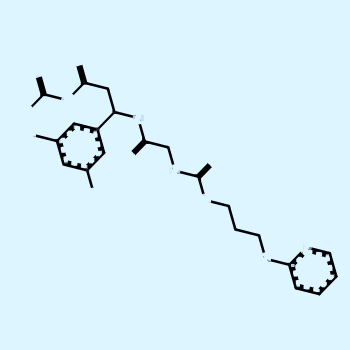 O=C(CNC(=O)OCCCNc1ccccn1)NC(CC(=O)OC(=O)C(F)(F)F)c1cc(Cl)cc(Cl)c1